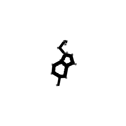 Cc1ccc2c(c1)ncn2CC(C)C